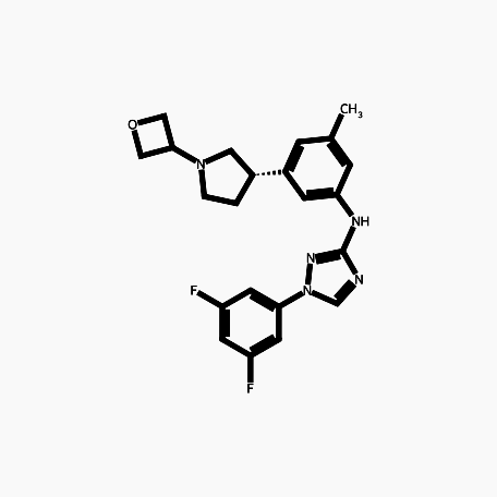 Cc1cc(Nc2ncn(-c3cc(F)cc(F)c3)n2)cc([C@@H]2CCN(C3COC3)C2)c1